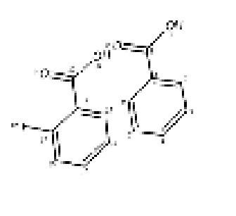 O=C(O)c1ccccc1.O=C(O)c1ccccc1I